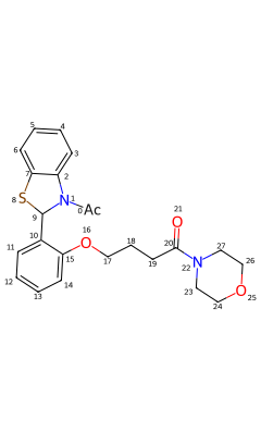 CC(=O)N1c2ccccc2SC1c1ccccc1OCCCC(=O)N1CCOCC1